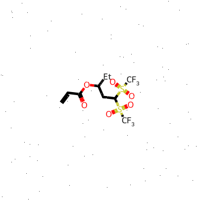 C=CC(=O)OC(CC)CC(S(=O)(=O)C(F)(F)F)S(=O)(=O)C(F)(F)F